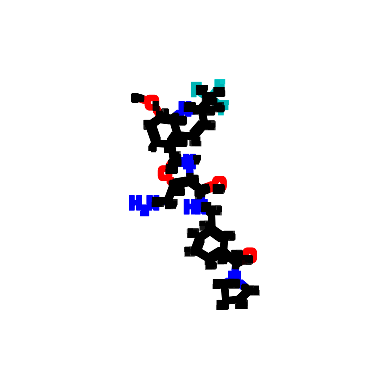 COc1ccc(-c2nc(C(=O)NCc3cccc(C(=O)N4CCCC4)c3)c(CN)o2)c2ccc(C(F)(F)F)nc12